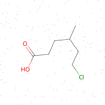 CC(CCCl)CCC(=O)O